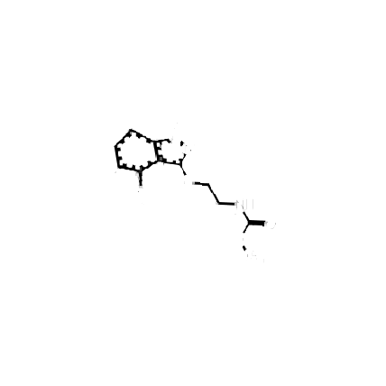 CC(C)(C)OC(=O)NCCOc1noc2cccc(F)c12